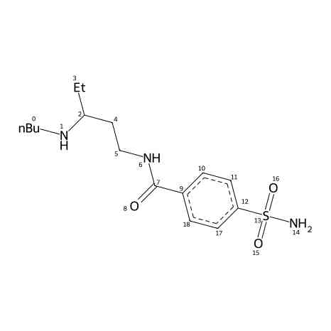 CCCCNC(CC)CCNC(=O)c1ccc(S(N)(=O)=O)cc1